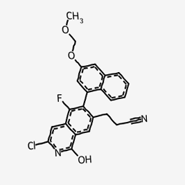 COCOc1cc(-c2c(CCC#N)cc3c(O)nc(Cl)cc3c2F)c2ccccc2c1